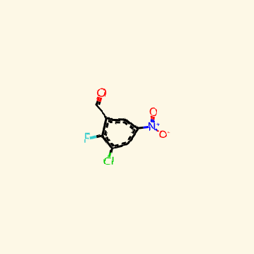 O=Cc1cc([N+](=O)[O-])cc(Cl)c1F